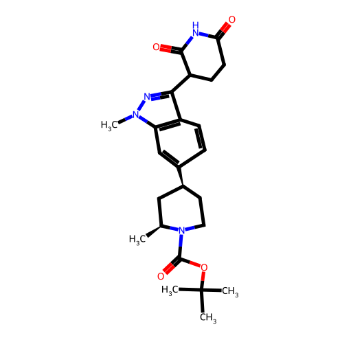 C[C@H]1C[C@@H](c2ccc3c(C4CCC(=O)NC4=O)nn(C)c3c2)CCN1C(=O)OC(C)(C)C